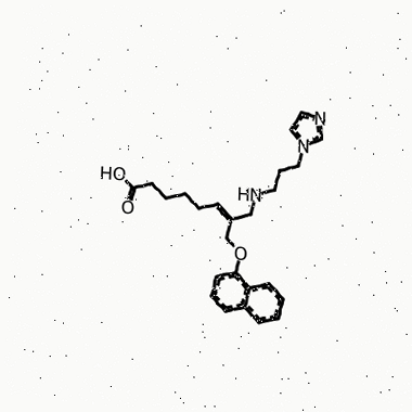 O=C(O)CCCC/C=C(/CNCCCn1ccnc1)COc1cccc2ccccc12